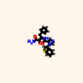 NC(=O)C(=O)C(Cc1ccccc1)NC(=O)c1cncn1-c1csc2ccccc12